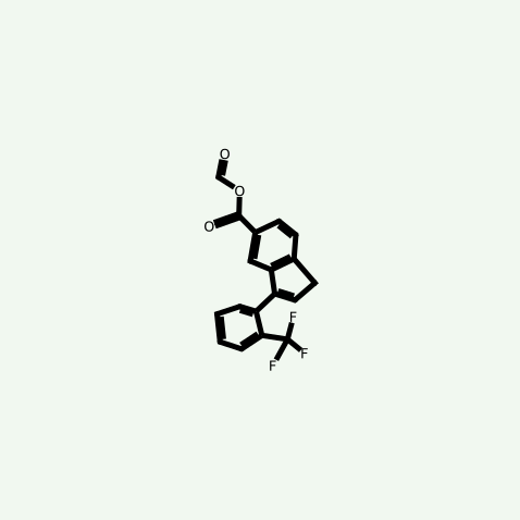 O=COC(=O)c1ccc2c(c1)C(c1ccccc1C(F)(F)F)=CC2